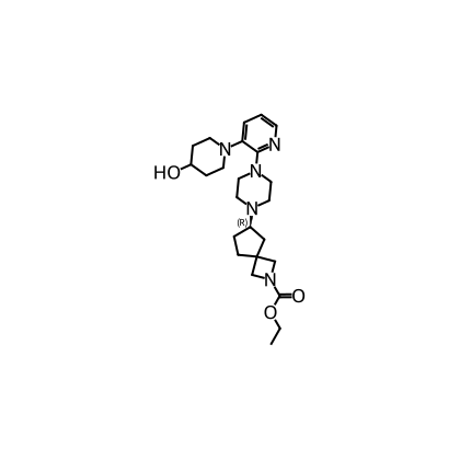 CCOC(=O)N1CC2(CC[C@@H](N3CCN(c4ncccc4N4CCC(O)CC4)CC3)C2)C1